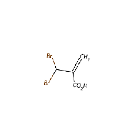 C=C(C(=O)O)C(Br)Br